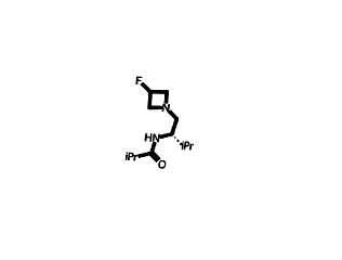 CC(C)C(=O)N[C@H](CN1CC(F)C1)C(C)C